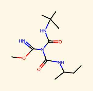 CCC(C)NC(=O)N(C(=N)OC)C(=O)NC(C)(C)C